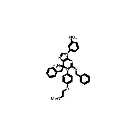 COCCOc1ccc(N2C(NCc3ccccc3)=Nc3c(ncn3-c3cccc([N+](=O)[O-])c3)C2(N)Cc2ccccc2)cc1